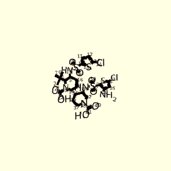 CC(C)(C)C1C(NS(=O)(=O)c2ccc(Cl)s2)CCCN1C(=O)O.Nc1cc(Cl)sc1S(=O)(=O)N[C@H]1CCCN(C(=O)O)C1